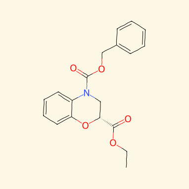 CCOC(=O)[C@H]1CN(C(=O)OCc2ccccc2)c2ccccc2O1